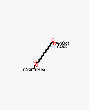 CCCCCCCCCC(CCCCCC)COC(=O)CCCCCCCCCCCCC(=O)OCC(CCCCCCCC)CCCCCCCC